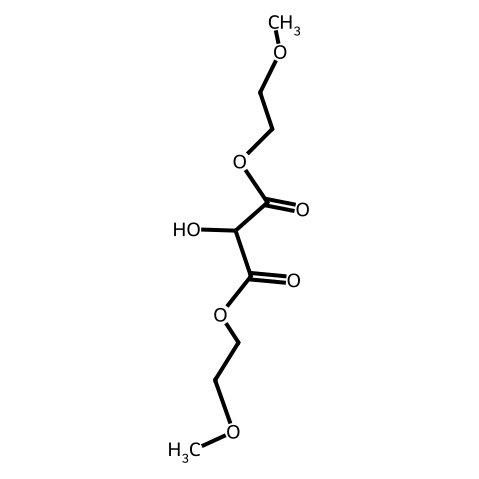 COCCOC(=O)C(O)C(=O)OCCOC